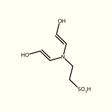 O=S(=O)(O)CCN(C=CO)C=CO